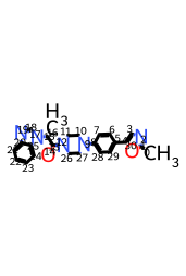 Cc1ncc(-c2ccc(N3CCN(C(=O)C(C)n4cnc5ccccc54)CC3)cc2)o1